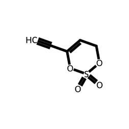 C#CC1=CCOS(=O)(=O)O1